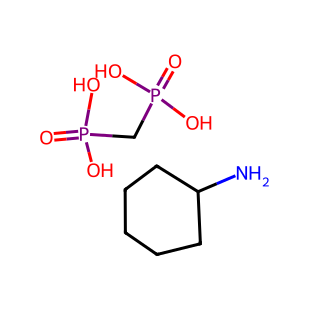 NC1CCCCC1.O=P(O)(O)CP(=O)(O)O